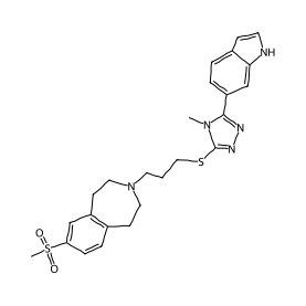 Cn1c(SCCCN2CCc3ccc(S(C)(=O)=O)cc3CC2)nnc1-c1ccc2cc[nH]c2c1